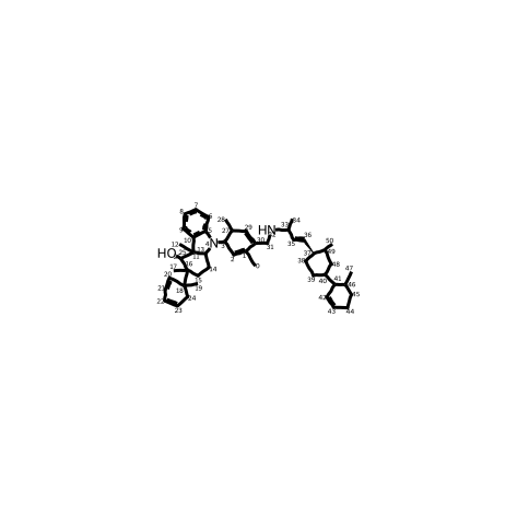 CC1=CC(N2c3ccccc3C3(C)C2CCC(C)(C2(C)C=CC=CC2)C3O)C(C)C=C1CNC(C)/C=C/[C@@H]1CCC(C2C=CCCC2C)CC1C